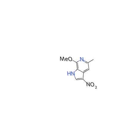 COc1nc(C)cc2c([N+](=O)[O-])c[nH]c12